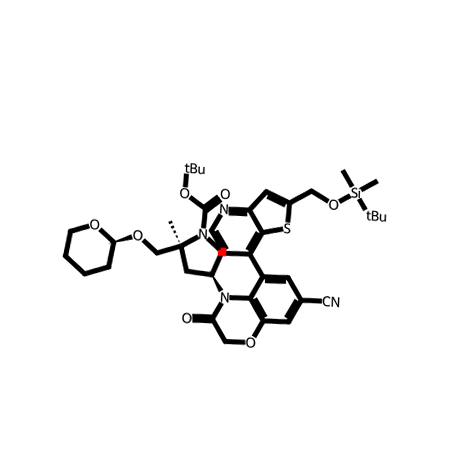 CC(C)(C)OC(=O)N1C[C@@H](N2C(=O)COc3cc(C#N)cc(-c4ccnc5cc(CO[Si](C)(C)C(C)(C)C)sc45)c32)C[C@@]1(C)CO[C@H]1CCCCO1